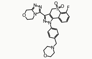 O=S1(=O)Cc2c(-c3nnc4n3CCOC4)nn(-c3ccc(CN4CCOCC4)cc3)c2-c2cccc(F)c21